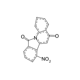 O=C1c2cccc([N+](=O)[O-])c2-c2cc(=O)c3ccccc3n21